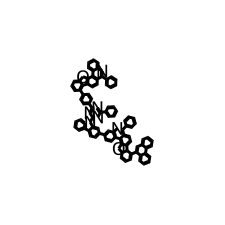 C1=CC2Oc3c(ccc4c(-c5ccccc5)nc5cc(-c6ccc7c8ccccc8n(-c8nc(-c9ccccc9)nc(-c9ccc(-c%10cccc%11oc%12c(ccc%13c(-c%14ccccc%14)nc%14ccccc%14c%13%12)c%10%11)cc9)n8)c7c6)ccc5c34)C2C(c2cc3ccccc3c3ccccc23)=C1